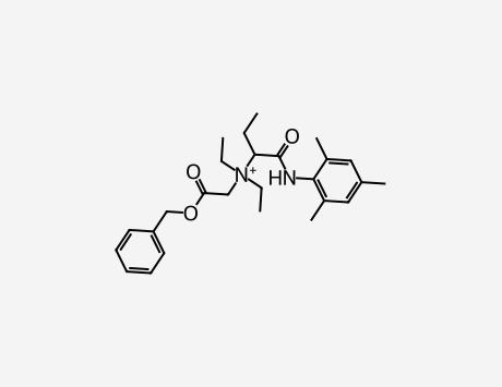 CCC(C(=O)Nc1c(C)cc(C)cc1C)[N+](CC)(CC)CC(=O)OCc1ccccc1